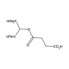 CCCCCCCC(CCCCC)OC(=O)CCC(=O)O